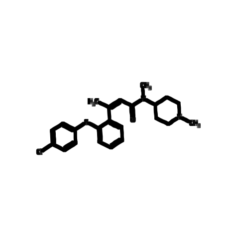 CC(=CC(=O)N(C)C1CCN(C)CC1)c1ccccc1Sc1ccc(Cl)cc1